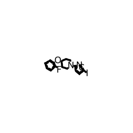 Fc1ccccc1OC1CCN(c2ccc(I)cn2)CC1